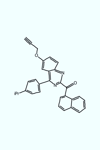 C#CCOc1ccc2nc(C(=O)c3cccc4ccccc34)nc(-c3ccc(C(C)C)cc3)c2c1